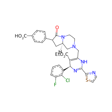 CCOC(=O)C1=C(CN2CCN3C(=O)C(c4ccc(C(=O)O)cc4)C[C@@H]3C2)NC(c2nccs2)=N[C@H]1c1cccc(F)c1Cl